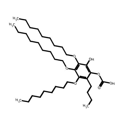 CCCCCCCCCOc1c(O)c(OC(=O)O)c(CCCC)c(OCCCCCCCCC)c1OCCCCCCCCC